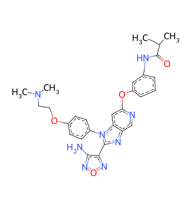 CC(C)C(=O)Nc1cccc(Oc2cc3c(cn2)nc(-c2nonc2N)n3-c2ccc(OCCN(C)C)cc2)c1